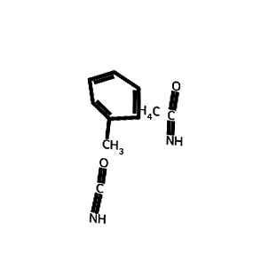 C.Cc1ccccc1.N=C=O.N=C=O